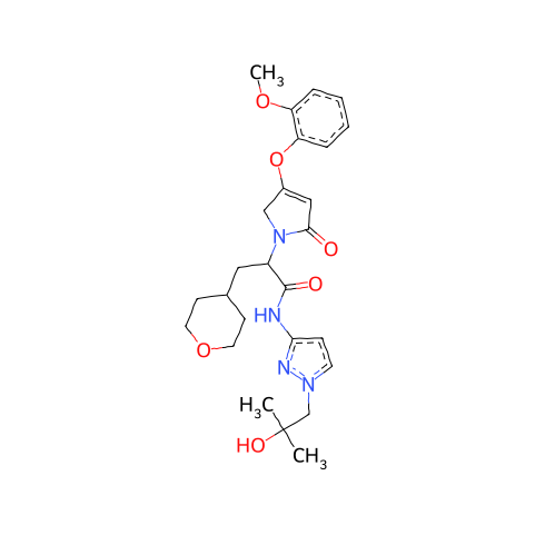 COc1ccccc1OC1=CC(=O)N(C(CC2CCOCC2)C(=O)Nc2ccn(CC(C)(C)O)n2)C1